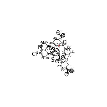 O=[N+]([O-])c1ccc(S(=O)(=O)N(C(=S)N(c2ccc(Cl)c3ncccc23)S(=O)(=O)c2ccc([N+](=O)[O-])cc2)c2ccc(Cl)c3ncccc23)cc1